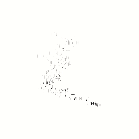 CCCCCN(C)CCC(O)(P(=O)(O)O)P(=O)(O)O.N.NCC(=O)O.NCC(=O)O.NCC(=O)O.NCCCC[C@H](N)C(=O)O.O=P(O)(O)C(O)(Cc1cccnc1)P(=O)(O)O.O=P(O)(O)C(O)(Cn1ccnc1)P(=O)(O)O.O=P(O)(O)C(Sc1ccc(Cl)cc1)P(=O)(O)O.[Na+].[Na+].[Na+]